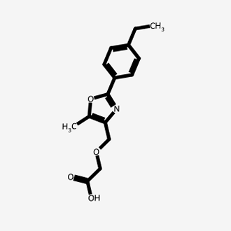 CCc1ccc(-c2nc(COCC(=O)O)c(C)o2)cc1